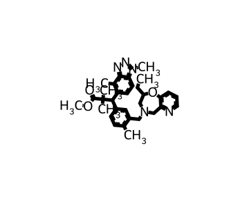 CCC1CN(Cc2cc(C(c3ccc4c(nnn4C)c3C)C(C)(C)C(=O)OC)ccc2C)Cc2ncccc2O1